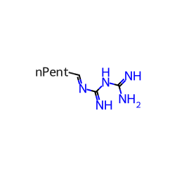 CCCCCC=NC(=N)NC(=N)N